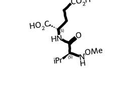 CON[C@H](C(=O)N[C@@H](CCC(=O)O)C(=O)O)C(C)C